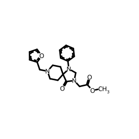 COC(=O)CN1CN(c2ccccc2)C2(CCN(Cc3ccco3)CC2)C1=O